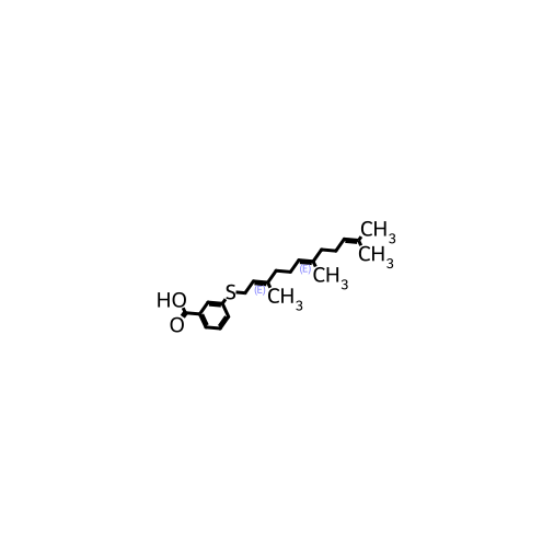 CC(C)=CCC/C(C)=C/CC/C(C)=C/CSc1cccc(C(=O)O)c1